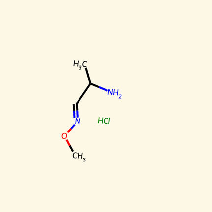 CON=CC(C)N.Cl